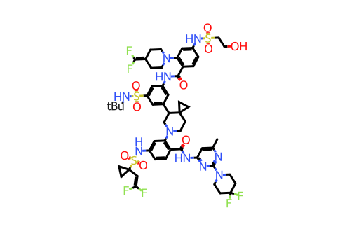 Cc1cc(NC(=O)c2ccc(NS(=O)(=O)C3(C=C(F)F)CC3)cc2N2CCC3(CC3)C(c3cc(NC(=O)c4ccc(NS(=O)(=O)CCO)cc4N4CCC(=C(F)F)CC4)cc(S(=O)(=O)NC(C)(C)C)c3)C2)nc(N2CCC(F)(F)CC2)n1